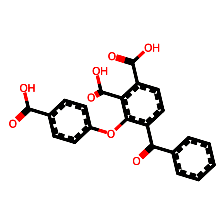 O=C(O)c1ccc(Oc2c(C(=O)c3ccccc3)ccc(C(=O)O)c2C(=O)O)cc1